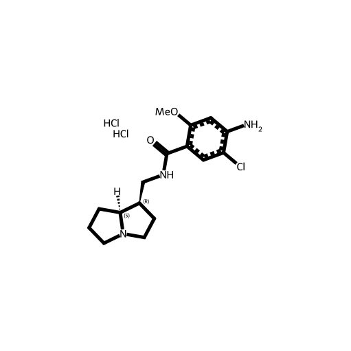 COc1cc(N)c(Cl)cc1C(=O)NC[C@H]1CCN2CCC[C@@H]12.Cl.Cl